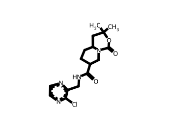 CC1(C)CC2CCC(C(=O)NCc3nccnc3Cl)CN2C(=O)O1